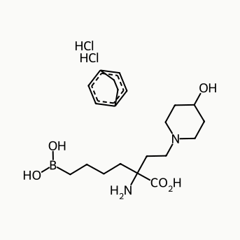 Cl.Cl.NC(CCCCB(O)O)(CCN1CCC(O)CC1)C(=O)O.c1cc2ccc1CC2